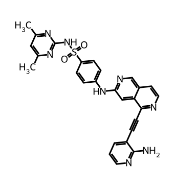 Cc1cc(C)nc(NS(=O)(=O)c2ccc(Nc3cc4c(C#Cc5cccnc5N)nccc4cn3)cc2)n1